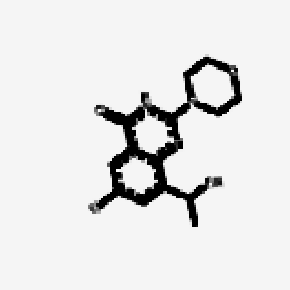 CC(O)c1cc(Cl)cc2c(=O)[nH]c(N3CCOCC3)nc12